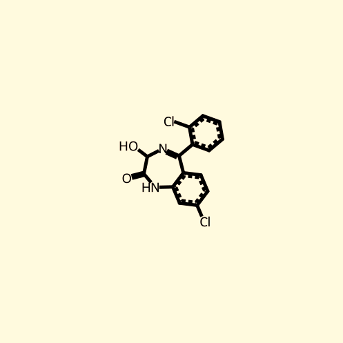 O=C1Nc2cc(Cl)ccc2C(c2ccccc2Cl)=NC1O